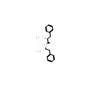 N[C@@H](Cc1ccccc1)C(=O)N[C@H](C=O)Cc1ccccc1